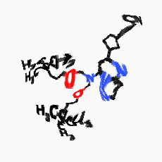 C[Si](C)(C)CCOCN(COCC[Si](C)(C)C)c1cc(C2CC/C(=C\C#N)C2)nc2ccnn12